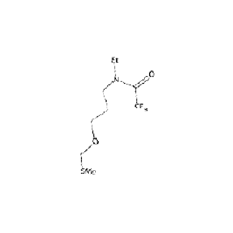 CCN(CCCOCSC)C(=O)C(F)(F)F